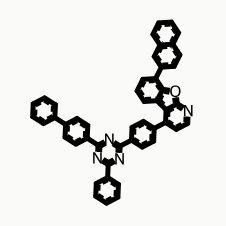 c1ccc(-c2ccc(-c3nc(-c4ccccc4)nc(-c4ccc(-c5ccnc6oc7c(-c8ccc9ccccc9c8)cccc7c56)cc4)n3)cc2)cc1